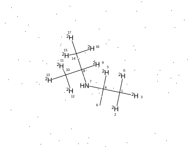 [2H]C([2H])([2H])C([2H])(C)NC([2H])(C([2H])([2H])[2H])C([2H])([2H])[2H]